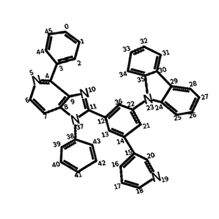 c1ccc(-c2nccc3c2nc(-c2cc(-c4cccnc4)cc(-n4c5ccccc5c5ccccc54)c2)n3-c2ccccc2)cc1